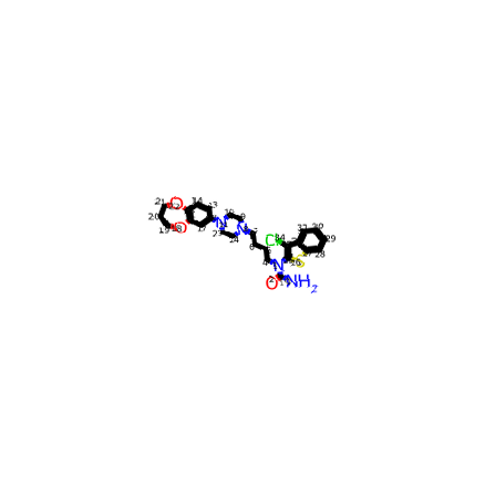 NC(=O)N(CCCCN1CCN(c2ccc3c(c2)OCCCO3)CC1)c1sc2ccccc2c1Cl